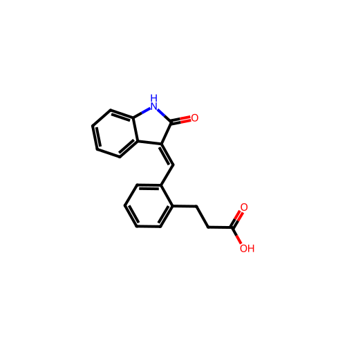 O=C(O)CCc1ccccc1/C=C1/C(=O)Nc2ccccc21